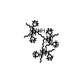 CCCCN(c1nc(CCCCCC(CCCCC(N)c2nc(N(CCCC)C3CC(C)(C)N(C)C(C)(C)C3)nc(N(CCCC)C3CC(C)(C)N(C)C(C)(C)C3)n2)c2nc(N(CCCC)C3CC(C)(C)N(C)C(C)(C)C3)nc(N(CCCC)C3CC(C)(C)N(C)C(C)(C)C3)n2)nc(N(CCCC)C2CC(C)(C)N(C)C(C)(C)C2)n1)C1CC(C)(C)N(C)C(C)(C)C1